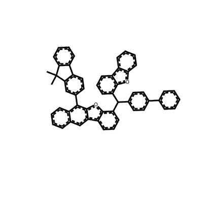 CC1(C)c2ccccc2-c2ccc(-c3c4ccccc4cc4c3oc3c(C(c5ccc(-c6ccccc6)cc5)c5cccc6c5oc5ccccc56)cccc34)cc21